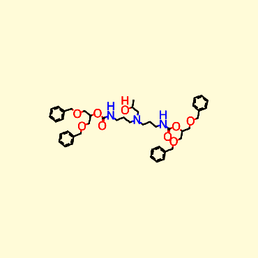 CC(O)CN(CCCNC(=O)OC(COCc1ccccc1)COCc1ccccc1)CCCNC(=O)OC(COCc1ccccc1)COCc1ccccc1